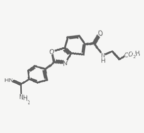 N=C(N)c1ccc(-c2nc3cc(C(=O)NCCC(=O)O)ccc3o2)cc1